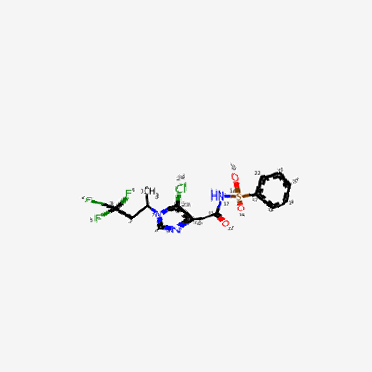 CC(CC(F)(F)F)n1cnc(C(=O)NS(=O)(=O)c2ccccc2)c1Cl